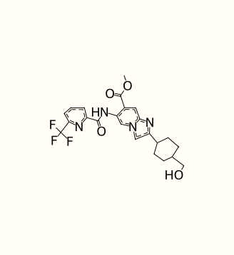 COC(=O)c1cc2nc(C3CCC(CO)CC3)cn2cc1NC(=O)c1cccc(C(F)(F)F)n1